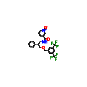 O=C(NCC(COCc1cc(C(F)(F)F)cc(C(F)(F)F)c1)c1ccccc1)c1ccc[n+]([O-])c1